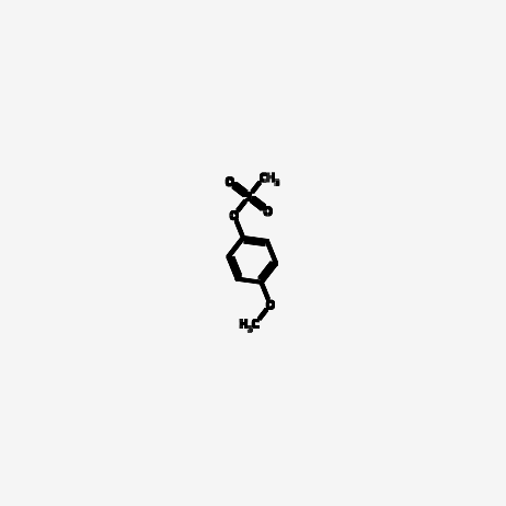 COc1ccc(OS(C)(=O)=O)cc1